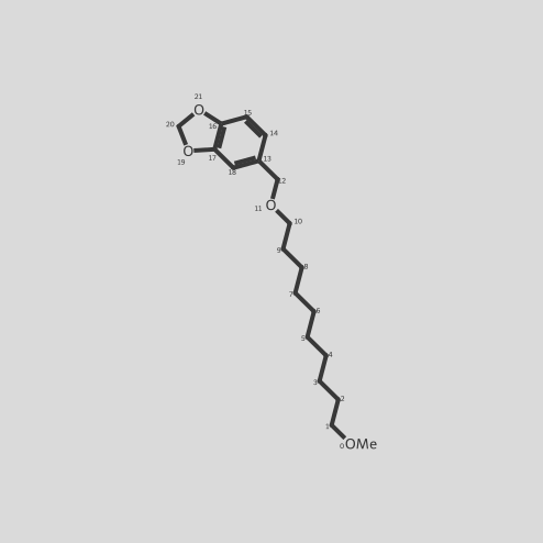 COCCCCCCCCCCOCc1ccc2c(c1)OCO2